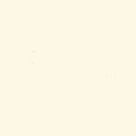 CCOC(=O)c1ccc2c(c1)sc1cc(N(C)C)ccc12